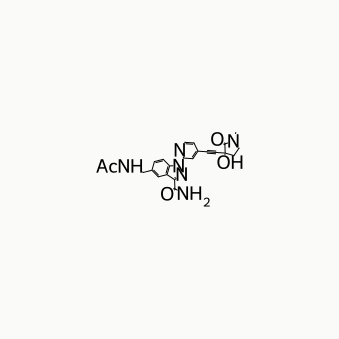 CC(=O)NCc1ccc2c(c1)c(C(N)=O)nn2-c1cc(C#C[C@]2(O)CCN(C)C2=O)ccn1